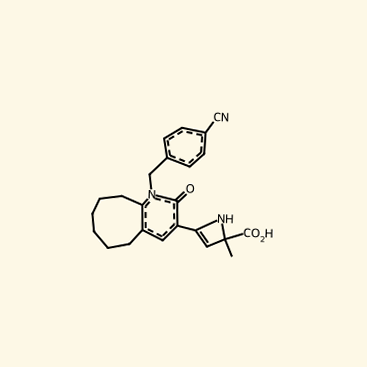 CC1(C(=O)O)C=C(c2cc3c(n(Cc4ccc(C#N)cc4)c2=O)CCCCCC3)N1